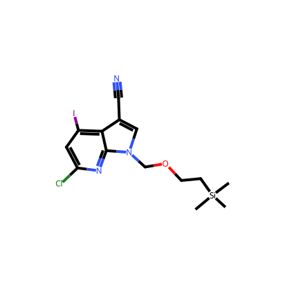 C[Si](C)(C)CCOCn1cc(C#N)c2c(I)cc(Cl)nc21